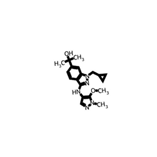 COc1c(Nc2nn(CC3CC3)c3cc(C(C)(C)O)ccc23)cnn1C